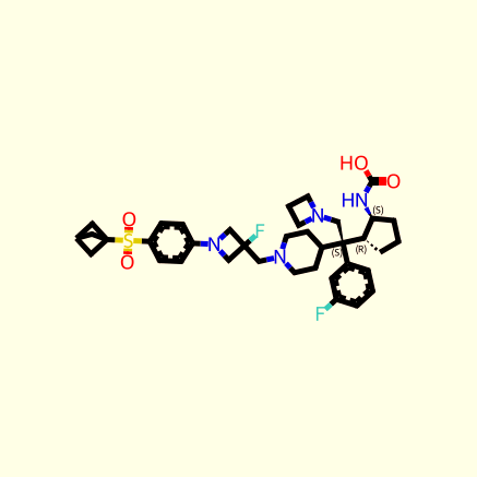 O=C(O)N[C@H]1CCC[C@@H]1[C@](CN1CCC1)(c1cccc(F)c1)C1CCN(CC2(F)CN(c3ccc(S(=O)(=O)C45CC(C4)C5)cc3)C2)CC1